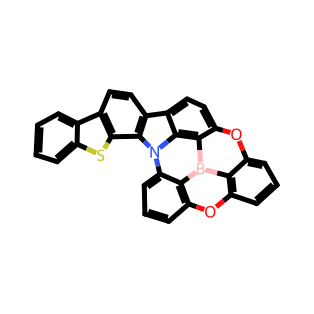 c1cc2c3c(c1)Oc1ccc4c5ccc6c7ccccc7sc6c5n5c4c1B3c1c(cccc1-5)O2